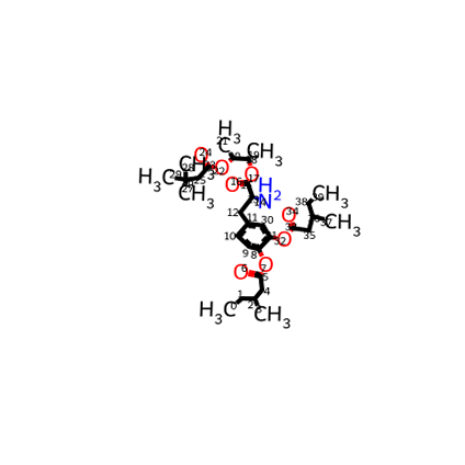 CCC(C)CC(=O)Oc1ccc(C[C@H](N)C(=O)O[C@@H](C)C(C)OC(=O)CC(C)(C)C)cc1OC(=O)CC(C)CC